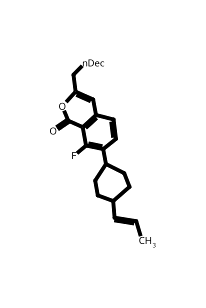 C/C=C/C1CCC(c2ccc3cc(CCCCCCCCCCC)oc(=O)c3c2F)CC1